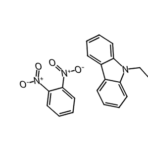 CCn1c2ccccc2c2ccccc21.O=[N+]([O-])c1ccccc1[N+](=O)[O-]